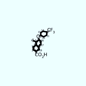 O=C(O)c1ccc2c(I)c(OC3CCC(C(F)(F)F)CC3)ccc2c1